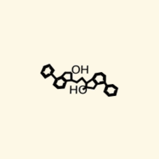 OC1Cc2c(-c3ccccc3)cccc2C1CCC1c2cccc(-c3ccccc3)c2CC1O